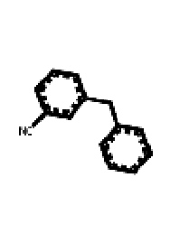 N#Cc1cccc([CH]c2ccccc2)c1